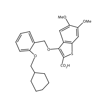 COc1cc2sc(C(=O)O)c(OCc3ccccc3OCC3CCCCC3)c2cc1OC